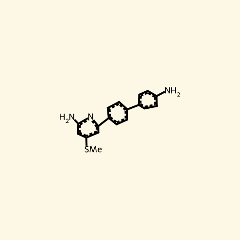 CSc1cc(N)nc(-c2ccc(-c3ccc(N)cc3)cc2)c1